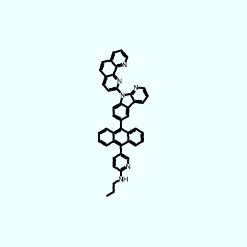 CCCNc1ccc(-c2c3ccccc3c(-c3ccc4c(c3)c3cccnc3n4-c3ccc4ccc5cccnc5c4n3)c3ccccc23)cn1